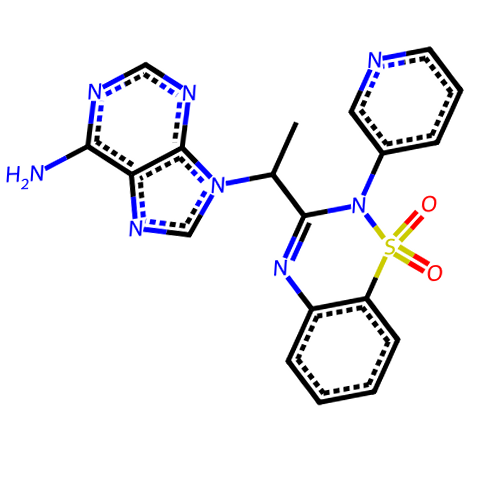 CC(C1=Nc2ccccc2S(=O)(=O)N1c1cccnc1)n1cnc2c(N)ncnc21